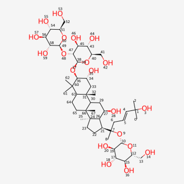 CC(C)(O)/C=C/CC(C)(O[C@@H]1O[C@H](CO)[C@@H](O)[C@H](O)[C@H]1O)[C@H]1CC[C@]2(C)C1[C@H](O)CC1[C@@]3(C)C[C@@H](O)[C@H](O[C@@H]4O[C@H](CO)[C@@H](O)[C@H](O)[C@H]4O[C@@H]4O[C@H](CO)[C@@H](O)[C@H](O)[C@H]4O)C(C)(C)C3CC[C@]12C